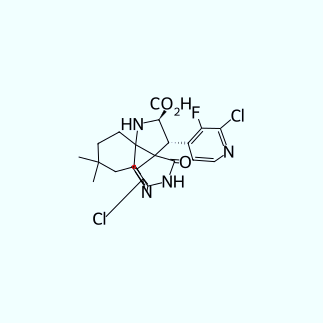 CC1(C)CCC2(CC1)N[C@@H](C(=O)O)[C@H](c1ccnc(Cl)c1F)C21C(=O)Nc2nc(Cl)ccc21